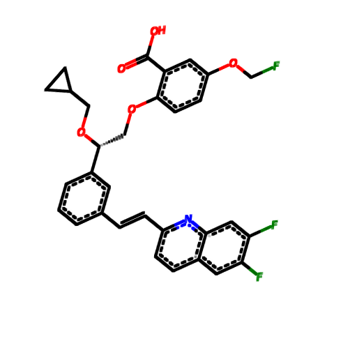 O=C(O)c1cc(OCF)ccc1OC[C@@H](OCC1CC1)c1cccc(/C=C/c2ccc3cc(F)c(F)cc3n2)c1